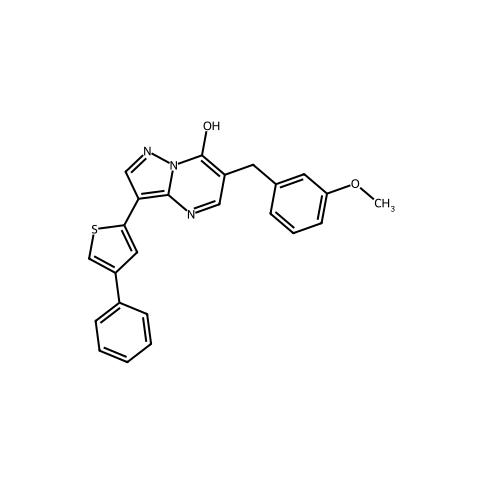 COc1cccc(Cc2cnc3c(-c4cc(-c5ccccc5)cs4)cnn3c2O)c1